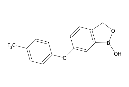 OB1OCc2ccc(Oc3ccc(C(F)(F)F)cc3)cc21